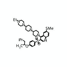 CCN1CCN(C2CCN(C3CCN(c4c(S(=O)(=O)c5ccc(OC(C)CC(C)C)cc5)cnc5ccc(SC)cc45)CC3)CC2)CC1